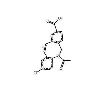 CC(=O)N1Cc2ccc(C(=O)O)cc2/C=C\c2cc(Cl)ccc21